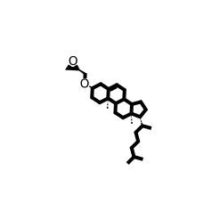 CC(C)CCCC(C)[C@H]1CCC2C3CC=C4C[C@@H](OC[C@H]5CO5)CC[C@]4(C)C3CC[C@@]21C